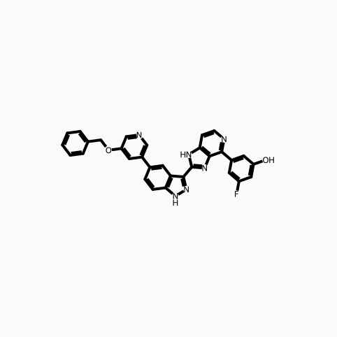 Oc1cc(F)cc(-c2nccc3[nH]c(-c4n[nH]c5ccc(-c6cncc(OCc7ccccc7)c6)cc45)nc23)c1